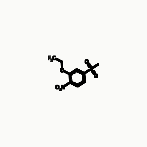 CS(=O)(=O)c1ccc([N+](=O)[O-])c(OCC(F)(F)F)c1